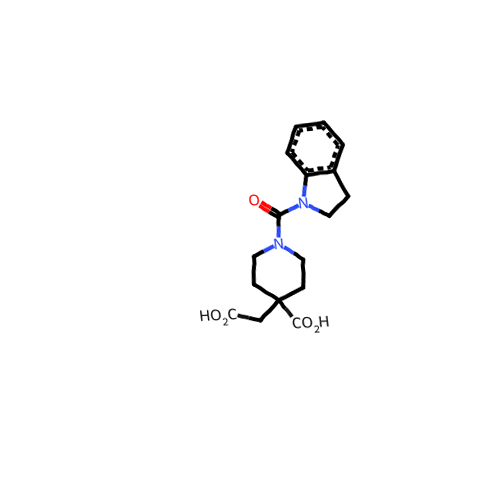 O=C(O)CC1(C(=O)O)CCN(C(=O)N2CCc3ccccc32)CC1